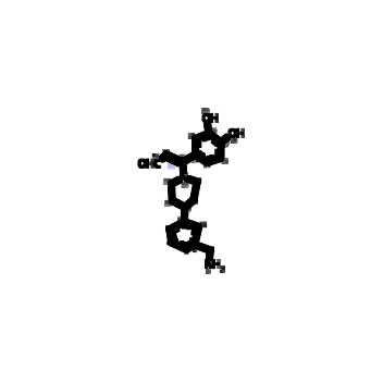 NCc1cccc(C2CCN(/C(=C\C=O)c3ccc(O)c(O)c3)CC2)c1